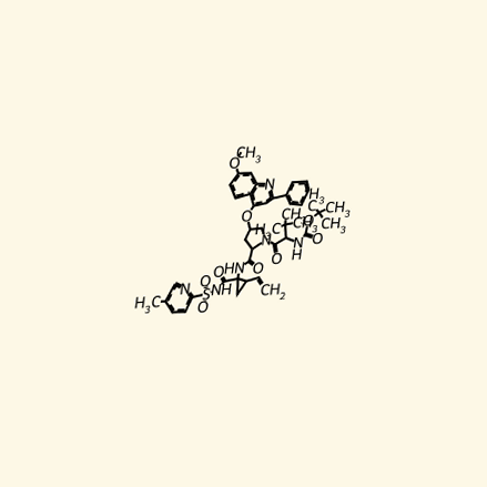 C=CC1CC1(NC(=O)C1CC(Oc2cc(-c3ccccc3)nc3cc(OC)ccc23)CN1C(=O)C(NC(=O)OC(C)(C)C)C(C)(C)C)C(=O)NS(=O)(=O)c1ccc(C)cn1